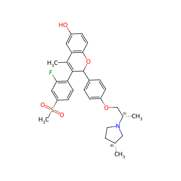 CC1=C(c2ccc(S(C)(=O)=O)cc2F)C(c2ccc(OC[C@H](C)N3CC[C@@H](C)C3)cc2)Oc2ccc(O)cc21